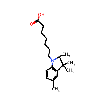 Cc1ccc2c(c1)C(C)(C)C(C)N2CCCCCCC(=O)O